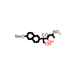 COc1ccc2cc([C@@](CO)(C(=O)O)C(O)CC(C)[N+](=O)[O-])ccc2c1